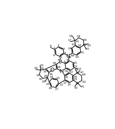 Cc1ccc2c(c1)B1c3c(cc(C)cc3N3c4cc5c(cc4-c4ccc(cc4)C4(C)CCC(C)(C)c6c4oc3c61)C(C)(C)CCC5(C)C)N2c1ccc2c(c1)C(C)(C)CCC2(C)C